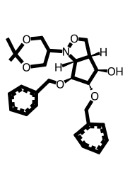 CC1(C)OCC(N2OC[C@@H]3[C@@H](O)[C@H](OCc4ccccc4)[C@@H](OCc4ccccc4)[C@@H]32)CO1